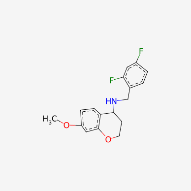 COc1ccc2c(c1)OCCC2NCc1ccc(F)cc1F